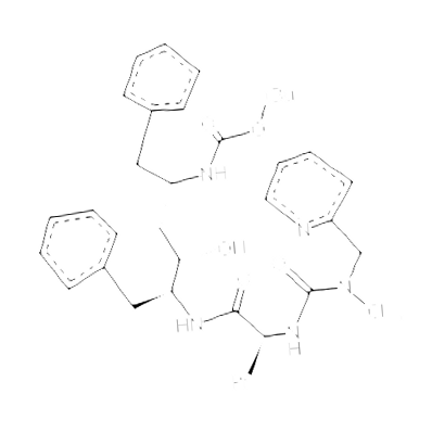 CC(C)[C@H](NC(=O)N(C)Cc1ccccn1)C(=O)N[C@@H](Cc1ccccc1)[C@@H](O)C[C@H](Cc1ccccc1)NC(=O)OC(C)(C)C